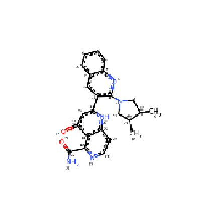 C[C@@H]1CN(c2nc3ccccc3cc2-c2cc(=O)c3c(C(N)=O)nccc3[nH]2)C[C@@H]1C